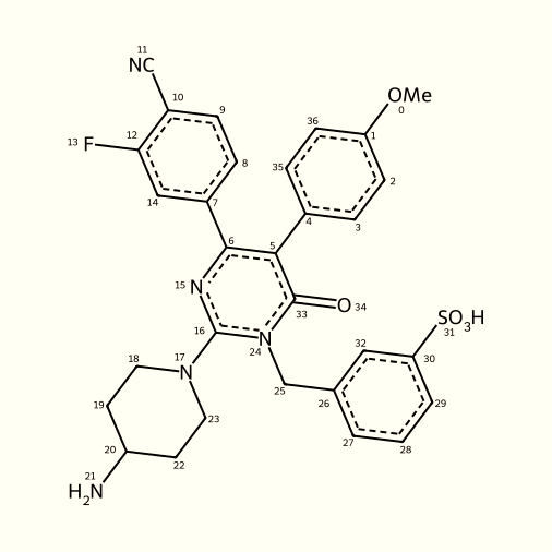 COc1ccc(-c2c(-c3ccc(C#N)c(F)c3)nc(N3CCC(N)CC3)n(Cc3cccc(S(=O)(=O)O)c3)c2=O)cc1